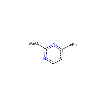 [CH2]CCCc1ccnc(OC)n1